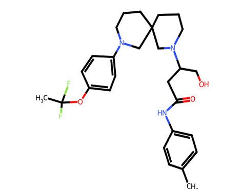 Cc1ccc(NC(=O)CC(CO)N2CCCC3(CCCN(c4ccc(OC(C)(F)F)cc4)C3)C2)cc1